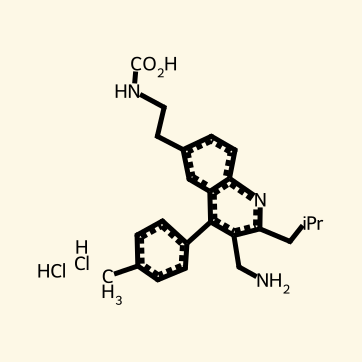 Cc1ccc(-c2c(CN)c(CC(C)C)nc3ccc(CCNC(=O)O)cc23)cc1.Cl.Cl